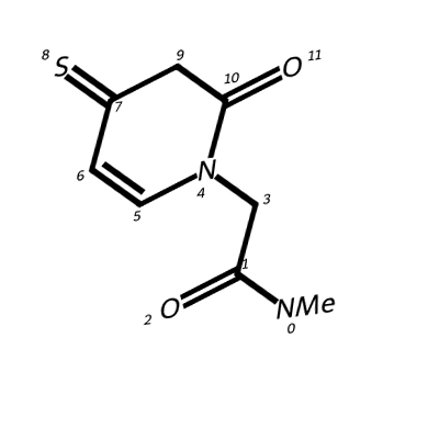 CNC(=O)CN1C=CC(=S)CC1=O